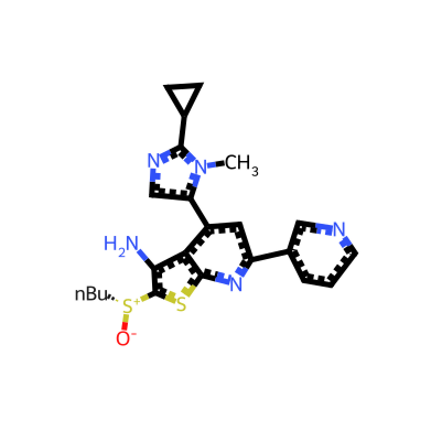 CCCC[S@@+]([O-])c1sc2nc(-c3cccnc3)cc(-c3cnc(C4CC4)n3C)c2c1N